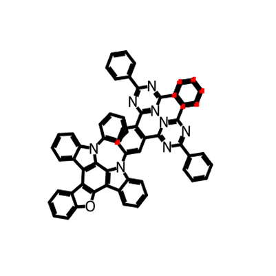 c1ccc(-c2nc(-c3ccccc3)nc(-c3ccc(-n4c5ccccc5c5c6oc7ccccc7c6c6c7ccccc7n(-c7ccccc7)c6c54)cc3-c3nc(-c4ccccc4)nc(-c4ccccc4)n3)n2)cc1